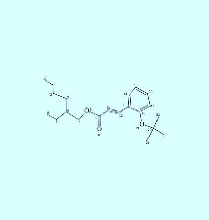 CCCCC(CC)COC(=O)C=Cc1ccccc1OC(C)(C)C